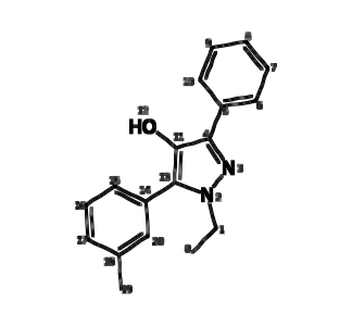 CCn1nc(-c2ccccc2)c(O)c1-c1cccc(C)c1